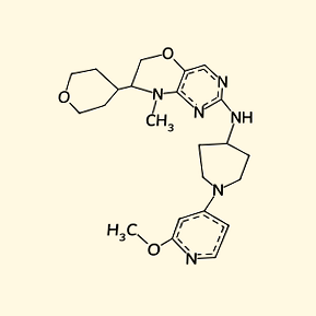 COc1cc(N2CCC(Nc3ncc4c(n3)N(C)C(C3CCOCC3)CO4)CC2)ccn1